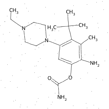 CCN1CCN(c2cc(OC(N)=O)c(N)c(C)c2C(C)(C)C)CC1